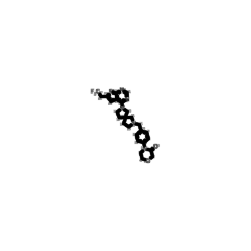 O=C1COCCN1c1ccc(CN2CCC3(CCN(c4ncnc5sc(CC(F)(F)F)cc45)C3)C2)cc1